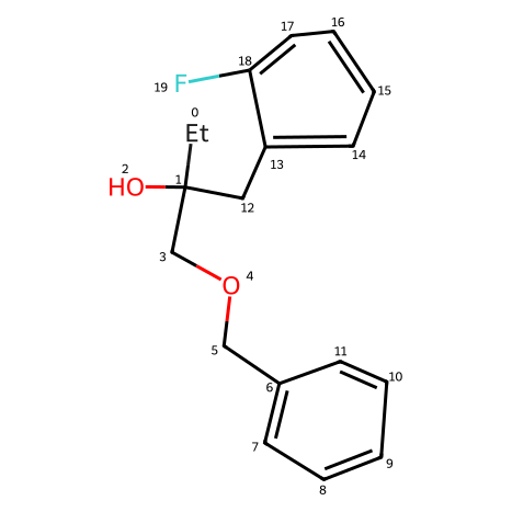 CCC(O)(COCc1ccccc1)Cc1ccccc1F